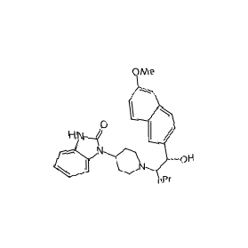 CCCC(C(O)c1ccc2cc(OC)ccc2c1)N1CCC(n2c(=O)[nH]c3ccccc32)CC1